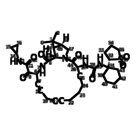 CC1(C)[C@@H]2[C@H]3C(=O)N[C@H](C(=O)C(=O)NC4CC4)CCCCCCCCC[C@H](NC(=O)NC4([C@@H]5CCCS5(=O)=O)CCCCC4)C(=O)N3C[C@@H]21